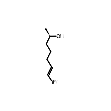 CC(C)/C=C/CCC[C@@H](C)O